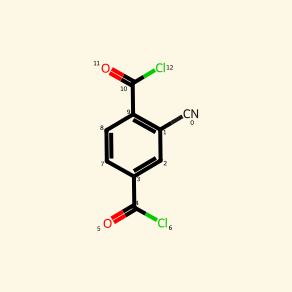 N#Cc1cc(C(=O)Cl)ccc1C(=O)Cl